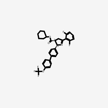 O=C(OC1CCCCC1)[C@H]1CC(c2c(F)cccc2F)=N[C@H]1c1ccc(-c2ccc(OC(F)(F)F)cc2)cc1